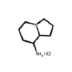 Cl.NC1CCCN2CCCC12